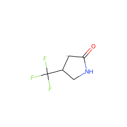 O=C1[CH]C(C(F)(F)F)CN1